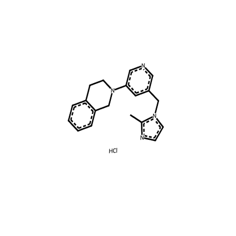 Cc1nccn1Cc1cncc(N2CCc3ccccc3C2)c1.Cl